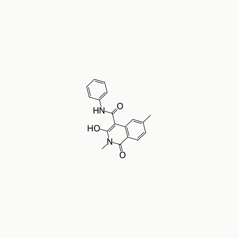 Cc1ccc2c(=O)n(C)c(O)c(C(=O)Nc3ccccc3)c2c1